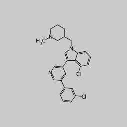 CN1CCCC(Cn2cc(-c3cncc(-c4cccc(Cl)c4)c3)c3c(Cl)cccc32)C1